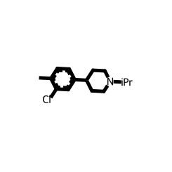 Cc1ccc(C2CCN(C(C)C)CC2)cc1Cl